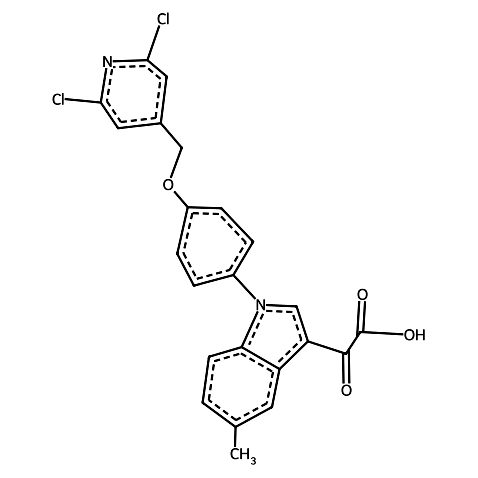 Cc1ccc2c(c1)c(C(=O)C(=O)O)cn2-c1ccc(OCc2cc(Cl)nc(Cl)c2)cc1